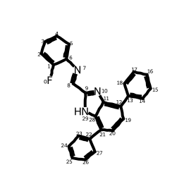 Fc1ccccc1/N=C/c1nc2c(-c3ccccc3)ccc(-c3ccccc3)c2[nH]1